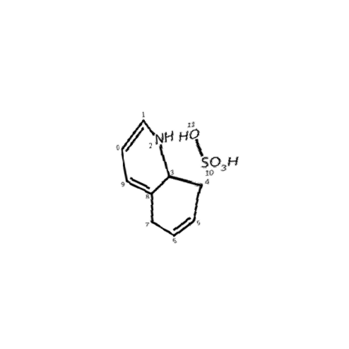 C1=CNC2CC=CCC2=C1.O=S(=O)(O)O